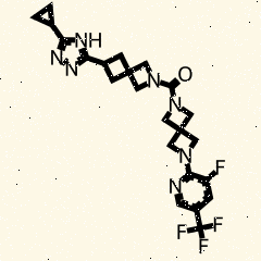 O=C(N1CC2(CC(c3nnc(C4CC4)[nH]3)C2)C1)N1CC2(C1)CN(c1ncc(C(F)(F)F)cc1F)C2